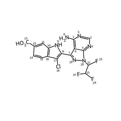 Nc1ncnc2c1c(-c1[nH]c3cc(C(=O)O)ccc3c1Cl)nn2C(F)C(F)F